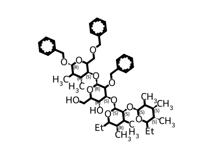 CCC1O[C@@H](O[C@@H]2C(OCc3ccccc3)[C@H](O[C@@H]3C(COCc4ccccc4)O[C@@H](OCc4ccccc4)C(C)[C@H]3C)OC(CO)[C@H]2O)[C@@H](O[C@@H]2OC(CC)[C@@H](C)[C@H](C)C2C)C(C)[C@H]1C